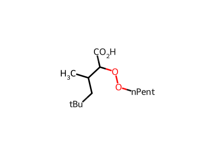 CCCCCOOC(C(=O)O)C(C)CC(C)(C)C